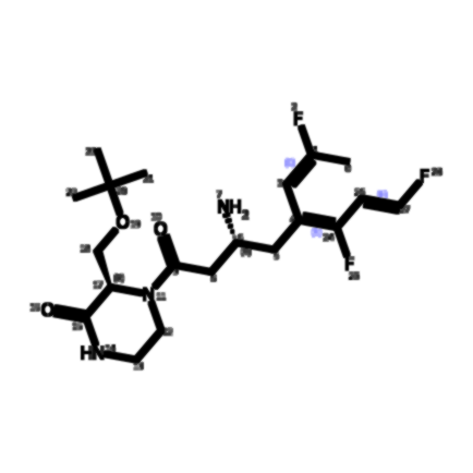 C\C(F)=C/C(C[C@@H](N)CC(=O)N1CCNC(=O)[C@H]1COC(C)(C)C)=C(F)\C=C\F